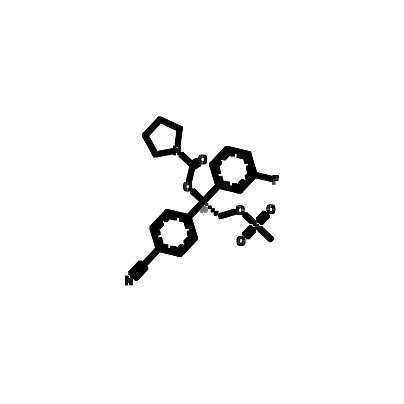 CS(=O)(=O)OC[C@@](OC(=O)N1CCCC1)(c1ccc(C#N)cc1)c1cccc(F)c1